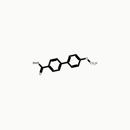 CNC(=O)c1ccc(-c2ccc(OC(=O)O)cc2)cc1